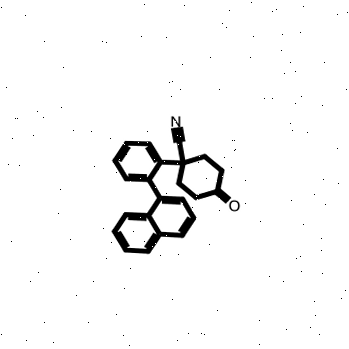 N#CC1(c2ccccc2-c2cccc3ccccc23)CCC(=O)CC1